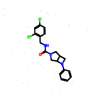 O=C(NCc1ccc(Cl)cc1Cl)N1CC2CN(c3ccccc3)C2C1